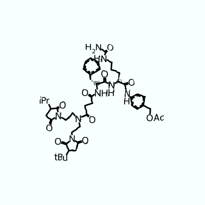 CC(=O)OCc1ccc(NC(=O)[C@H](CCCNC(N)=O)NC(=O)[C@@H](Cc2ccccc2)NC(=O)CCC(=O)N(CCN2C(=O)CC(C(C)C)C2=O)CCN2C(=O)CC(C(C)(C)C)C2=O)cc1